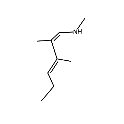 CC/C=C(C)/C(C)=C\NC